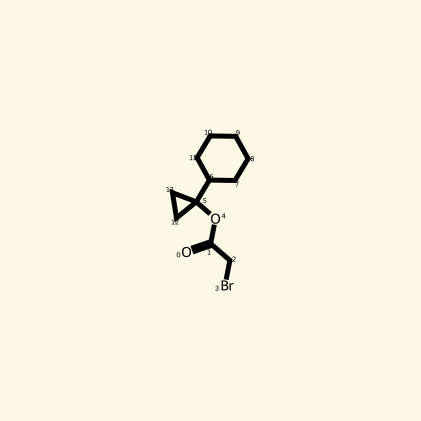 O=C(CBr)OC1(C2CCCCC2)CC1